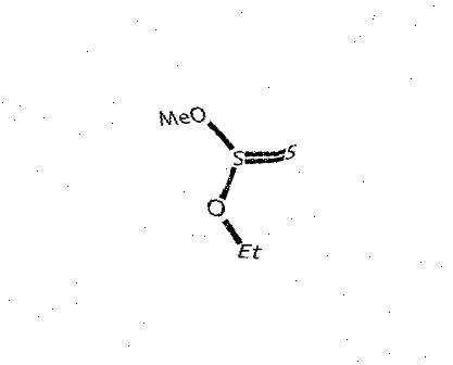 CCOS(=S)OC